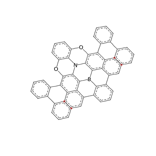 c1ccc(-c2ccccc2-c2c3c4c5c6c(cccc26)-c2cccc6c2B5c2c5c(c(-c7ccccc7-c7ccccc7)c7cccc-6c27)Oc2cccc(c2N45)O3)cc1